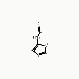 S=CNc1cccs1